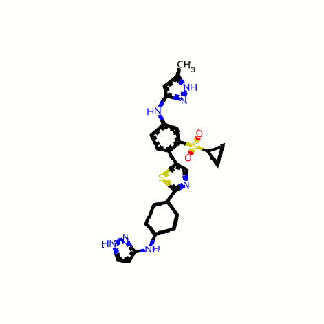 Cc1cc(Nc2ccc(-c3cnc(C4CCC(Nc5cc[nH]n5)CC4)s3)c(S(=O)(=O)C3CC3)c2)n[nH]1